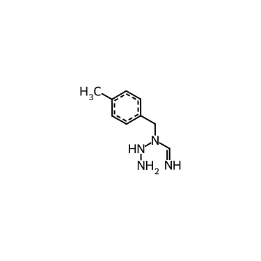 Cc1ccc(CN(C=N)NN)cc1